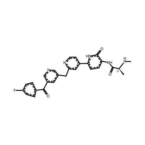 CN[C@@H](C)C(=O)Nc1ccc(-c2ccnc(Cc3cncc(C(=O)c4ccc(F)cc4)c3)c2)[nH]c1=O